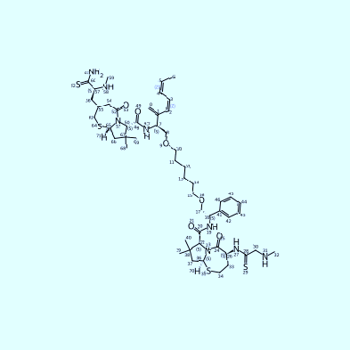 C=C(/C=C\C=C/C)[C@@H](COCCCCCCOC[C@@H](NC(=O)[C@H]1N2C(=O)[C@@H](NC(=S)CNC)CCS[C@H]2CC1(C)C)c1ccccc1)NC(=O)[C@H]1N2C(=O)CC(C[C@H](NC)C(N)=S)CS[C@H]2CC1(C)C